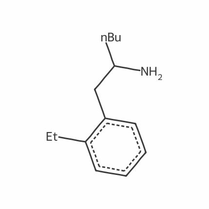 CCCCC(N)Cc1ccccc1CC